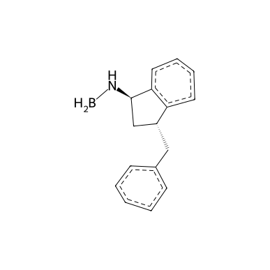 BN[C@@H]1C[C@@H](Cc2ccccc2)c2ccccc21